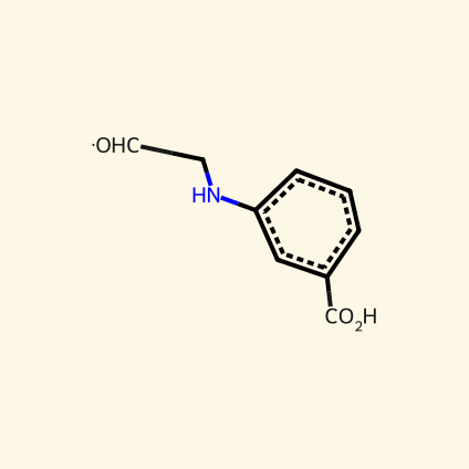 O=[C]CNc1cccc(C(=O)O)c1